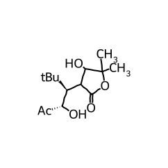 CC(=O)[C@@H](O)[C@H](C1C(=O)OC(C)(C)C1O)C(C)(C)C